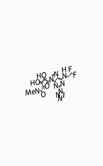 CNC(=O)[C@H]1O[C@@H](n2cnc3c(NCC(F)F)nc(-n4ccnn4)nc32)[C@H](O)[C@@H]1O